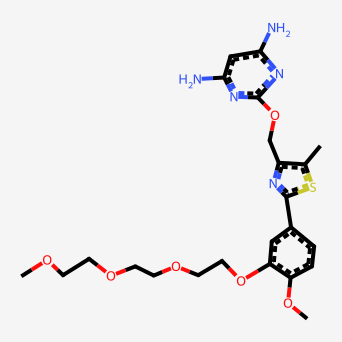 COCCOCCOCCOc1cc(-c2nc(COc3nc(N)cc(N)n3)c(C)s2)ccc1OC